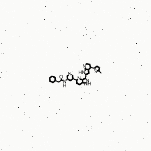 Cc1ccc(-c2ccnc3[nH]c(-c4n[nH]c5ccc(-c6cncc(NC(=O)Cc7ccccc7)c6)nc45)cc23)s1